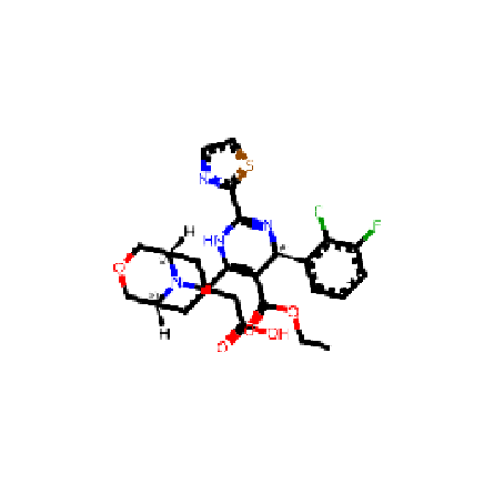 CCOC(=O)C1=C(CN2[C@@H]3COC[C@H]2CC(CC(=O)O)C3)NC(c2nccs2)=N[C@H]1c1cccc(F)c1Cl